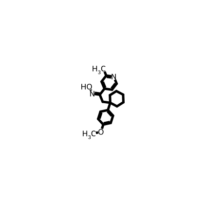 COc1ccc(C2(C/C(=N/O)c3ccnc(C)c3)CCCCC2)cc1